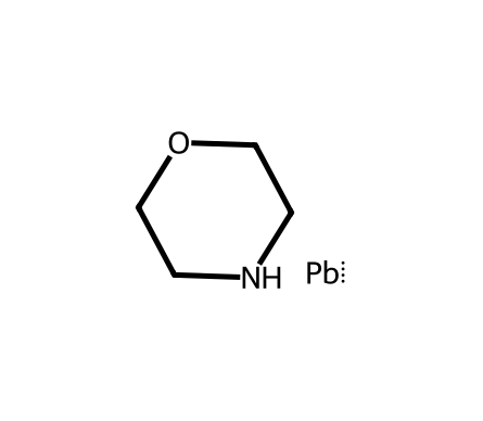 C1COCCN1.[Pb]